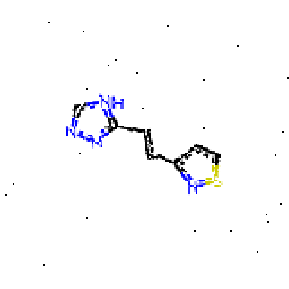 C(=Cc1nnc[nH]1)c1ccsn1